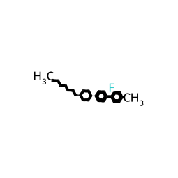 CCCCCCCC[C@H]1CC[C@H](c2ccc(-c3ccc(C)cc3F)cc2)CC1